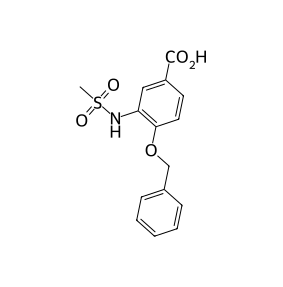 CS(=O)(=O)Nc1cc(C(=O)O)ccc1OCc1ccccc1